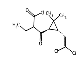 CCC(C(=O)Cl)C(=O)[C@@H]1[C@@H](C=C(Cl)Cl)C1(C)C